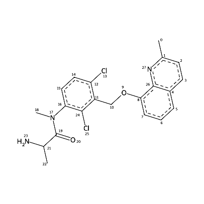 Cc1ccc2cccc(OCc3c(Cl)ccc(N(C)C(=O)C(C)N)c3Cl)c2n1